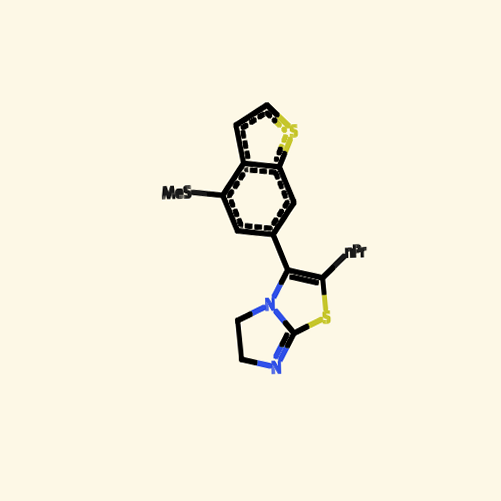 CCCC1=C(c2cc(SC)c3ccsc3c2)N2CCN=C2S1